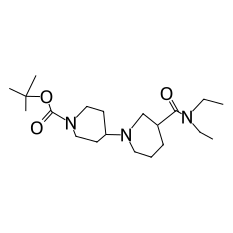 CCN(CC)C(=O)C1CCCN(C2CCN(C(=O)OC(C)(C)C)CC2)C1